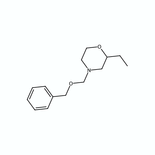 CCC1CN(COCc2ccccc2)CCO1